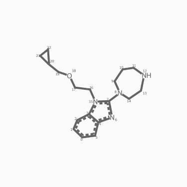 c1ccc2c(c1)nc(N1CCCNCC1)n2CCOCC1CC1